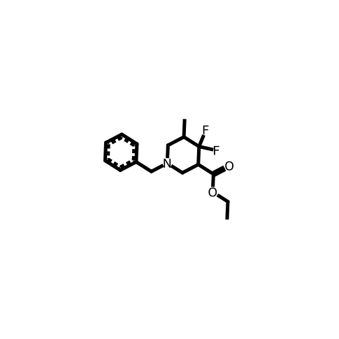 CCOC(=O)C1CN(Cc2ccccc2)CC(C)C1(F)F